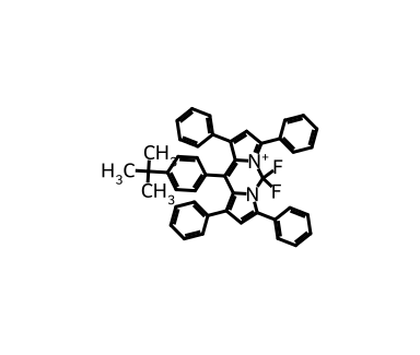 CC(C)(C)c1ccc(C2=C3C(c4ccccc4)=CC(c4ccccc4)=[N+]3C(F)(F)n3c(-c4ccccc4)cc(-c4ccccc4)c32)cc1